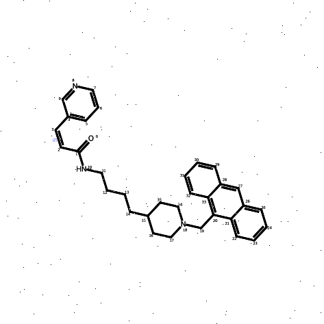 O=C(/C=C\c1cccnc1)NCCCCC1CCN(Cc2c3ccccc3cc3ccccc23)CC1